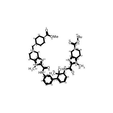 COC(=O)[C@H]1CC[C@@H](CN2CCc3c(nc(C(=O)Nc4cccc(C5=CC=CC(NC(=O)c6nc7c(n6C)CCN(C(=O)OC(C)(C)C)C7)C5(C)Cl)c4)n3C)C2)CC1